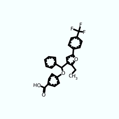 CCc1oc(-c2ccc(C(F)(F)F)cc2)cc1C(Oc1ccc(C(=O)O)cc1)c1ccccc1